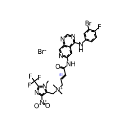 Cn1c(C(F)(F)F)nc([N+](=O)[O-])c1C[N+](C)(C)C/C=C/C(=O)Nc1cc2c(Nc3ccc(F)c(Br)c3)ncnc2cn1.[Br-]